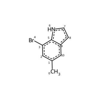 Cc1cc(Br)c2[nH]ccc2c1